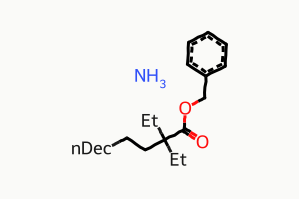 CCCCCCCCCCCCC(CC)(CC)C(=O)OCc1ccccc1.N